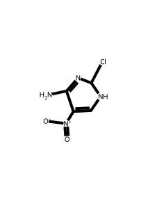 NC1=NC(Cl)NC=C1[N+](=O)[O-]